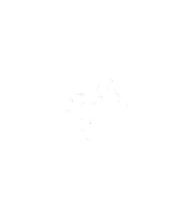 C=CC(=O)Nc1cc(Nc2cc(N3OCCC3c3cccc(C(=O)O)c3)ncn2)c(OC)cc1N1CCOCC1